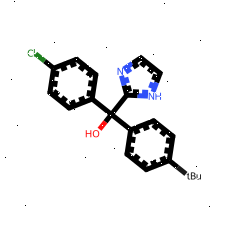 CC(C)(C)c1ccc(C(O)(c2ccc(Cl)cc2)c2ncc[nH]2)cc1